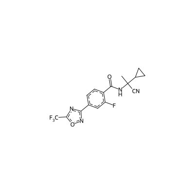 CC(C#N)(NC(=O)c1ccc(-c2noc(C(F)(F)F)n2)cc1F)C1CC1